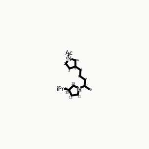 CC(=O)N1CCC(CCCC(C)N2CCC(C(C)C)C2)C1